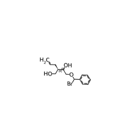 C=CC[C@H](CO)[C@@H](O)COC(Br)c1ccccc1